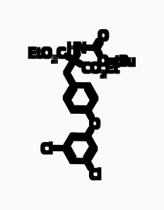 CCOC(=O)C(Cc1ccc(Oc2cc(Cl)cc(Cl)c2)cc1)(NC(=O)OC(C)(C)C)C(=O)OCC